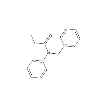 CCC(=O)N(Cc1ccccc1)c1ccccc1